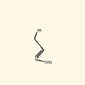 [CH2]CCC/[C]=N/C=O